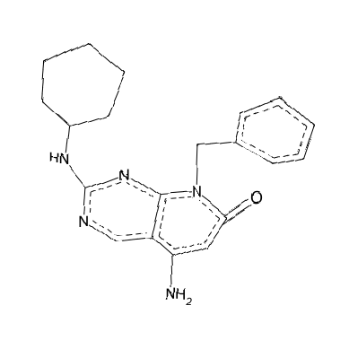 Nc1cc(=O)n(Cc2ccccc2)c2nc(NC3CCCCC3)ncc12